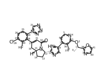 C[C@H](Oc1nccc(-c2cnc([C@@H]3CC[C@@H]4CC(c5c(-n6cnnn6)ccc(Cl)c5F)=CC(=O)N43)[nH]2)c1F)c1ncco1